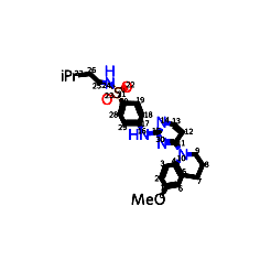 COc1ccc2c(c1)CCCN2c1ccnc(Nc2ccc(S(=O)(=O)NCCC(C)C)cc2)n1